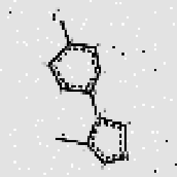 Cc1cncn1-c1c[c]c(Cl)cc1